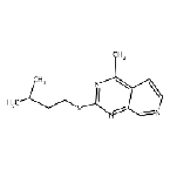 Cc1nc(SCCC(C)C)nc2cnccc12